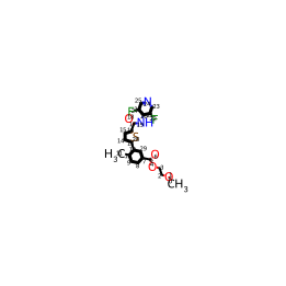 COCCOC(=O)c1ccc(C)c(-c2ccc(C(=O)Nc3c(F)cncc3F)s2)c1